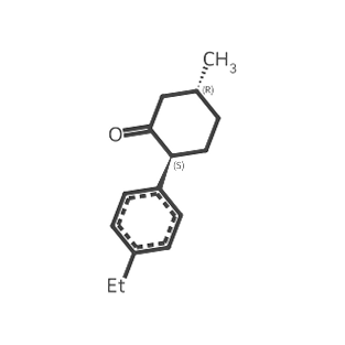 CCc1ccc([C@@H]2CC[C@@H](C)CC2=O)cc1